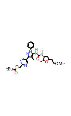 COCCC1C[C@@H](NC(=O)Nc2c(C)c(-c3cnc(COC(=O)C(C)(C)C)nc3)nn2-c2ccccc2)[C@H](C)O1